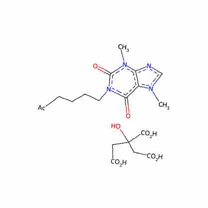 CC(=O)CCCCn1c(=O)c2c(ncn2C)n(C)c1=O.O=C(O)CC(O)(CC(=O)O)C(=O)O